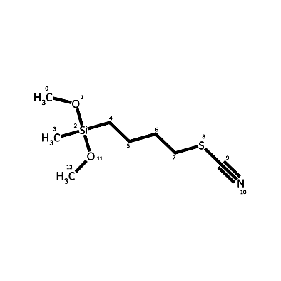 CO[Si](C)(CCCCSC#N)OC